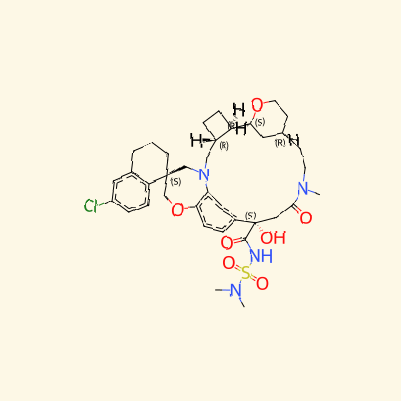 CN1CC[C@@H]2CCO[C@@H](C2)[C@@H]2CC[C@H]2CN2C[C@@]3(CCCc4cc(Cl)ccc43)COc3ccc(cc32)[C@](O)(C(=O)NS(=O)(=O)N(C)C)CC1=O